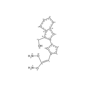 NOC(=Cc1ccc(-c2oc3ccccc3c2CO)o1)ON